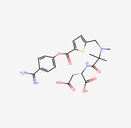 CN(Cc1ccc(C(=O)Oc2ccc(C(=N)N)cc2)s1)C(C)(C)C(=O)N[C@@H](CC(=O)O)C(=O)O